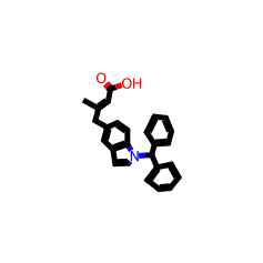 CC(=CC(=O)O)Cc1ccc2c(ccn2C(c2ccccc2)c2ccccc2)c1